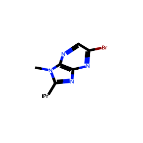 CC(C)c1nc2nc(Br)cnc2n1C